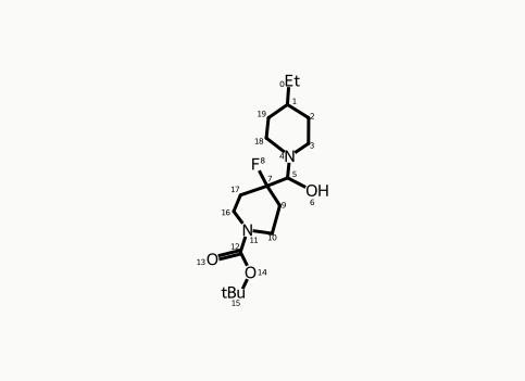 CCC1CCN(C(O)C2(F)CCN(C(=O)OC(C)(C)C)CC2)CC1